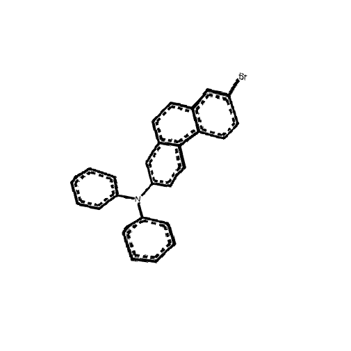 Brc1ccc2c(ccc3cc(N(c4ccccc4)c4ccccc4)ccc32)c1